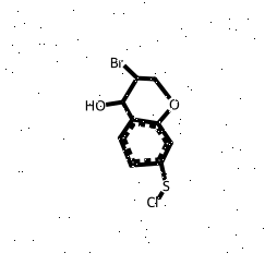 OC1c2ccc(SCl)cc2OCC1Br